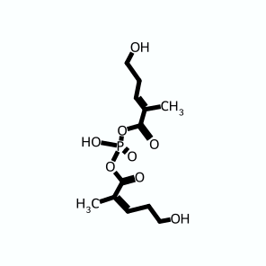 CC(=CCCO)C(=O)OP(=O)(O)OC(=O)C(C)=CCCO